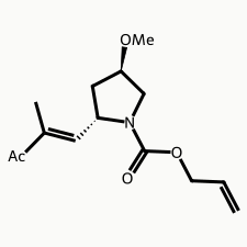 C=CCOC(=O)N1C[C@H](OC)C[C@H]1/C=C(\C)C(C)=O